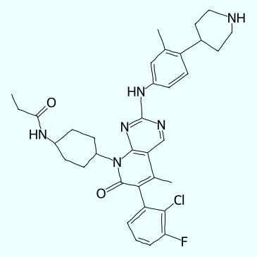 CCC(=O)NC1CCC(n2c(=O)c(-c3cccc(F)c3Cl)c(C)c3cnc(Nc4ccc(C5CCNCC5)c(C)c4)nc32)CC1